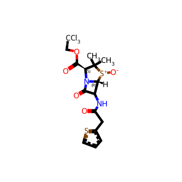 CC1(C)[C@H](C(=O)OCC(Cl)(Cl)Cl)N2C(=O)C(NC(=O)Cc3cccs3)[C@H]2[S+]1[O-]